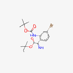 CC(C)(C)OC(=O)Nc1cc(Br)ccc1C(=N)C(=O)OC(C)(C)C